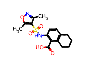 Cc1noc(C)c1S(=O)(=O)Nc1ccc2c(c1C(=O)O)CCCC2